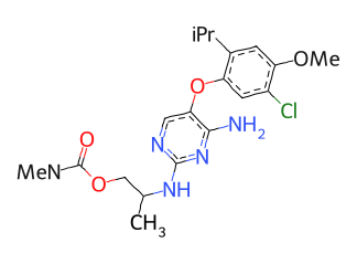 CNC(=O)OCC(C)Nc1ncc(Oc2cc(Cl)c(OC)cc2C(C)C)c(N)n1